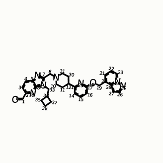 O=Cc1ccc2nc(CN3CCC(c4cccc(OCc5cccn6nccc56)n4)CC3)n(CC3CCC3)c2n1